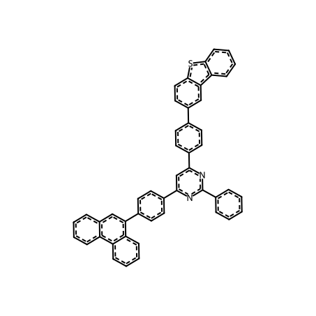 c1ccc(-c2nc(-c3ccc(-c4ccc5sc6ccccc6c5c4)cc3)cc(-c3ccc(-c4cc5ccccc5c5ccccc45)cc3)n2)cc1